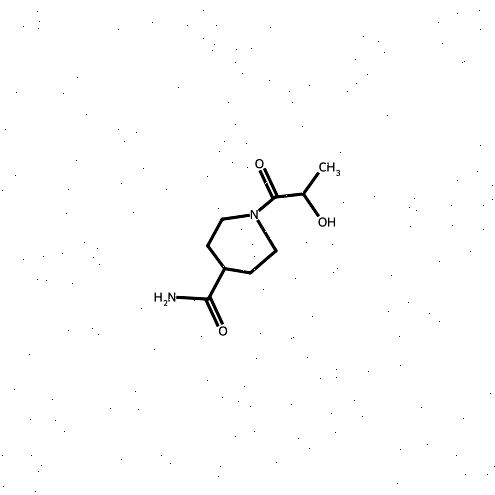 CC(O)C(=O)N1CCC(C(N)=O)CC1